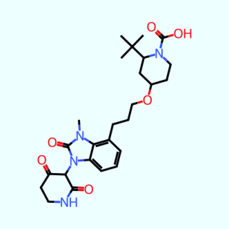 Cn1c(=O)n(C2C(=O)CCNC2=O)c2cccc(CCCOC3CCN(C(=O)O)C(C(C)(C)C)C3)c21